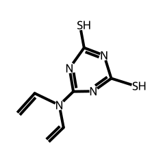 C=CN(C=C)c1nc(S)nc(S)n1